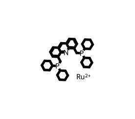 [Ru+2].c1cc(CP(C2CCCCC2)C2CCCCC2)c2nc3c(CP(C4CCCCC4)C4CCCCC4)cccc3cc2c1